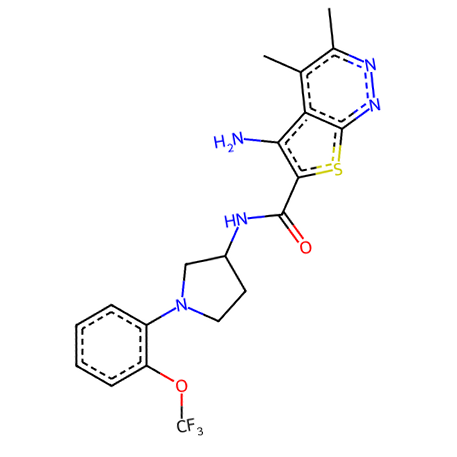 Cc1nnc2sc(C(=O)NC3CCN(c4ccccc4OC(F)(F)F)C3)c(N)c2c1C